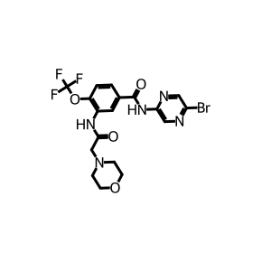 O=C(CN1CCOCC1)Nc1cc(C(=O)Nc2cnc(Br)cn2)ccc1OC(F)(F)F